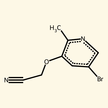 Cc1ncc(Br)cc1OCC#N